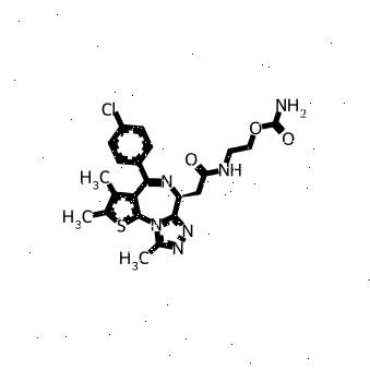 Cc1sc2c(c1C)C(c1ccc(Cl)cc1)=N[C@@H](CC(=O)NCCOC(N)=O)c1nnc(C)n1-2